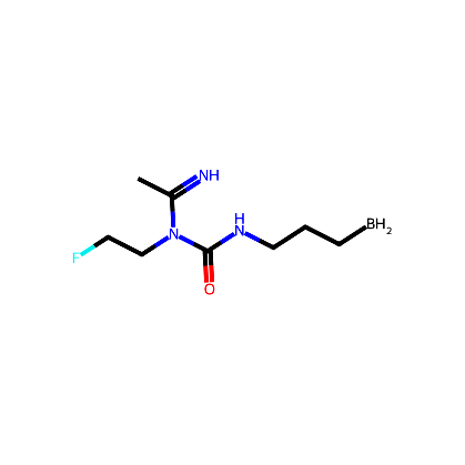 BCCCNC(=O)N(CCF)C(C)=N